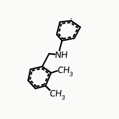 Cc1cccc(CNc2cc[c]cc2)c1C